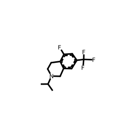 CC(C)N1CCc2c(F)cc(C(F)(F)F)cc2C1